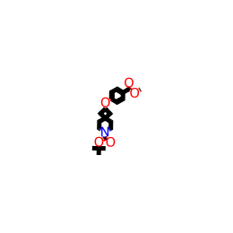 COC(=O)c1ccc(OC2CC3(CCN(C(=O)OC(C)(C)C)CC3)C2)cc1